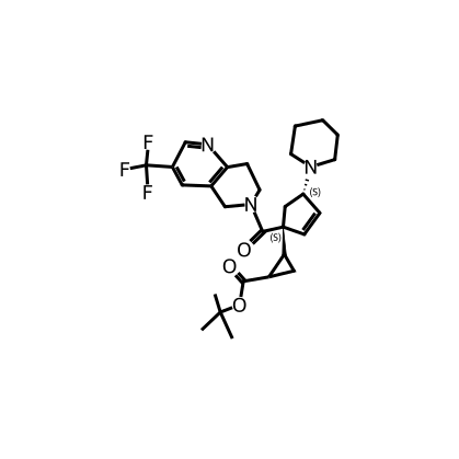 CC(C)(C)OC(=O)C1CC1[C@]1(C(=O)N2CCc3ncc(C(F)(F)F)cc3C2)C=C[C@@H](N2CCCCC2)C1